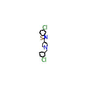 Clc1cccc(CN2CC=C(c3nc4cc(Cl)ccc4s3)CC2)c1